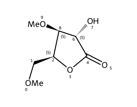 COC[C@@H]1OC(=O)[C@@H](O)[C@@H]1OC